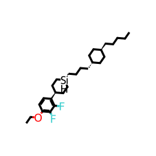 CCCCC[C@H]1CC[C@H](CCCC[Si@H]2CC[C@H](c3ccc(OCC)c(F)c3F)CC2)CC1